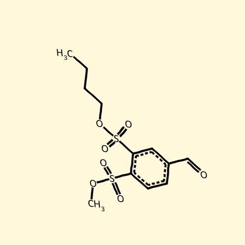 CCCCOS(=O)(=O)c1cc(C=O)ccc1S(=O)(=O)OC